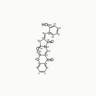 O=C1Oc2ccccc2C(=O)/C1=C/N1C(=O)C/C(=C/c2ccccc2O)C1=O